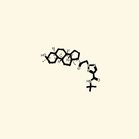 CC(C)(C)NC(=O)c1cnn(CC(=O)[C@H]2CC[C@H]3[C@@H]4CC[C@@H]5C[C@](C)(O)CC[C@]5(C)[C@H]4CC[C@]23C)n1